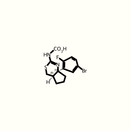 O=C(O)NC1=N[C@@]2(c3cc(Br)ccc3F)CCC[C@H]2CS1